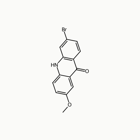 COc1ccc2[nH]c3cc(Br)ccc3c(=O)c2c1